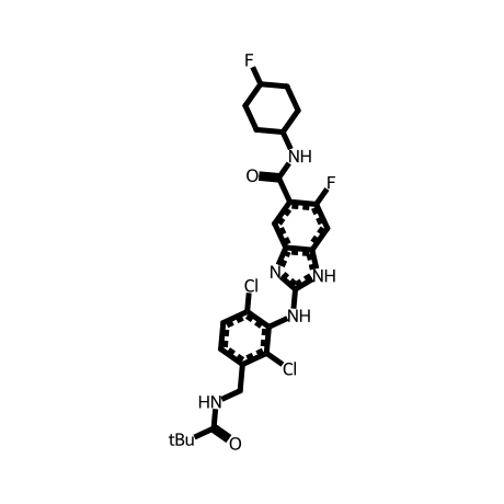 CC(C)(C)C(=O)NCc1ccc(Cl)c(Nc2nc3cc(C(=O)NC4CCC(F)CC4)c(F)cc3[nH]2)c1Cl